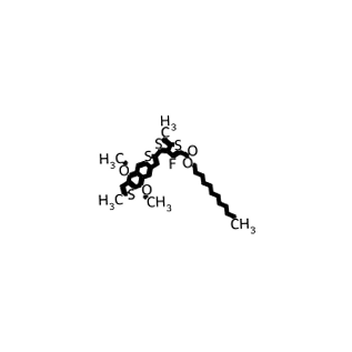 CCCCCCCCCCCCOC(=O)c1sc2c(C)sc(-c3cc4cc5c(OCC)c6sc(C)cc6c(OCC)c5cc4s3)c2c1F